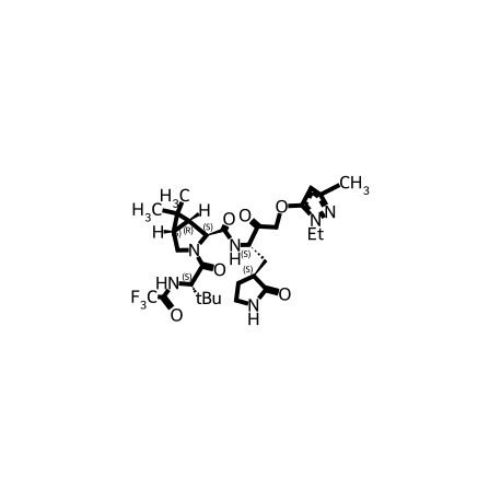 CCn1nc(C)cc1OCC(=O)[C@H](C[C@@H]1CCNC1=O)NC(=O)[C@@H]1[C@@H]2[C@H](CN1C(=O)[C@@H](NC(=O)C(F)(F)F)C(C)(C)C)C2(C)C